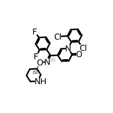 O=c1ccc(/C(=N/O[C@H]2CCCNC2)c2ccc(F)cc2F)cn1-c1c(Cl)cccc1Cl